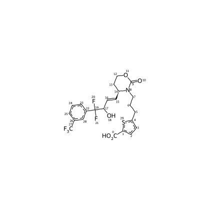 O=C(O)c1ccc(CCCN2C(=O)OCC[C@@H]2C=CC(O)C(F)(F)c2cccc(C(F)(F)F)c2)s1